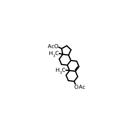 CC(=O)OC1CCC2(C)C(=CCC3C2CCC2(C)C(OC(C)=O)CCC32)C1